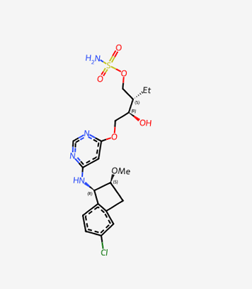 CC[C@@H](COS(N)(=O)=O)[C@@H](O)COc1cc(N[C@@H]2c3ccc(Cl)cc3C[C@@H]2OC)ncn1